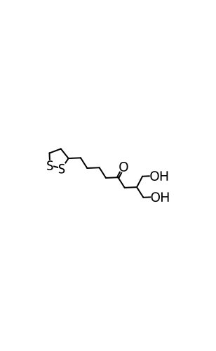 O=C(CCCCC1CCSS1)CC(CO)CO